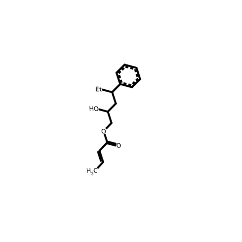 CC=CC(=O)OCC(O)CC(CC)c1ccccc1